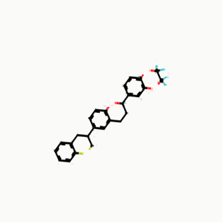 FC1(F)Oc2ccc(C3CCc4cc(C5CSc6ccccc6C5)ccc4O3)cc2OC1(F)F